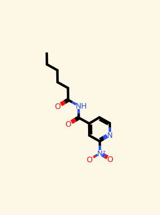 CCCCCC(=O)NC(=O)c1ccnc([N+](=O)[O-])c1